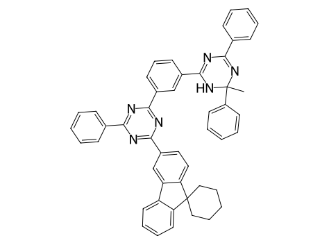 CC1(c2ccccc2)N=C(c2ccccc2)N=C(c2cccc(-c3nc(-c4ccccc4)nc(-c4ccc5c(c4)-c4ccccc4C54CCCCC4)n3)c2)N1